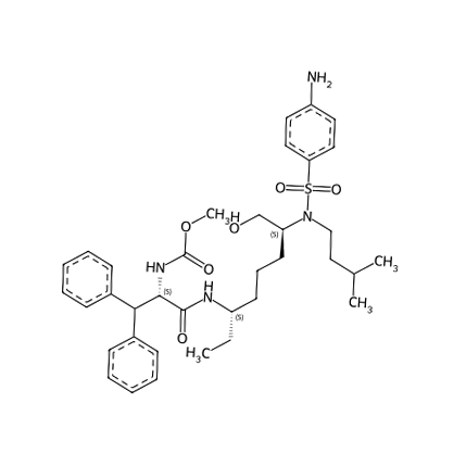 CC[C@@H](CCC[C@@H](CO)N(CCC(C)C)S(=O)(=O)c1ccc(N)cc1)NC(=O)[C@@H](NC(=O)OC)C(c1ccccc1)c1ccccc1